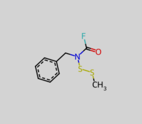 CSSN(Cc1ccccc1)C(=O)F